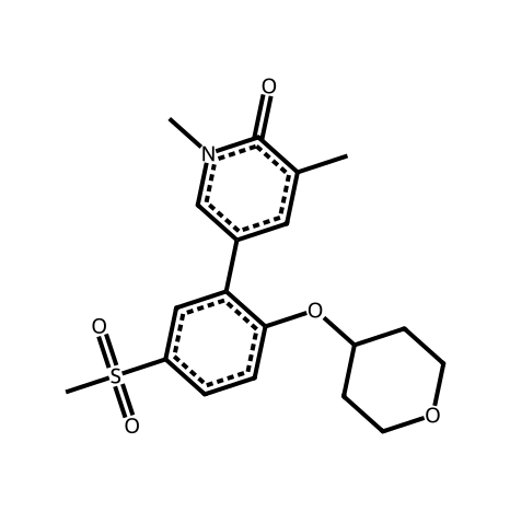 Cc1cc(-c2cc(S(C)(=O)=O)ccc2OC2CCOCC2)cn(C)c1=O